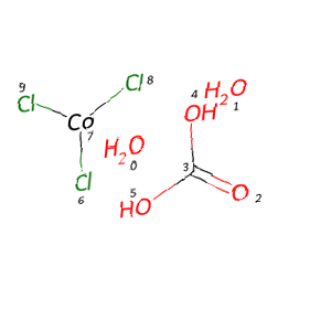 O.O.O=C(O)O.[Cl][Co]([Cl])[Cl]